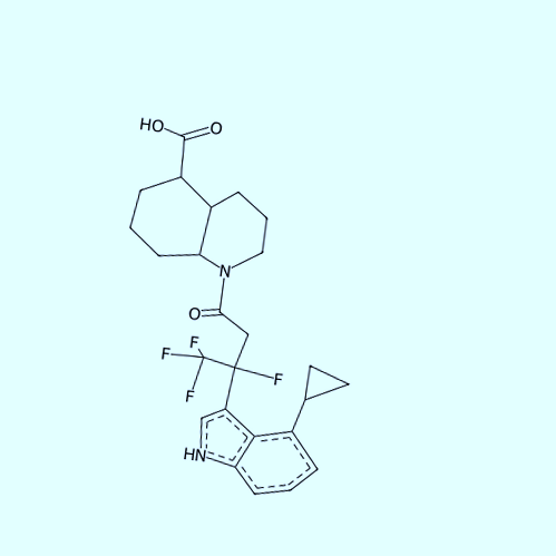 O=C(O)C1CCCC2C1CCCN2C(=O)CC(F)(c1c[nH]c2cccc(C3CC3)c12)C(F)(F)F